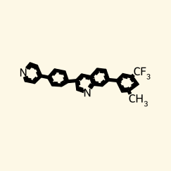 Cc1cc(-c2ccc3cc(-c4ccc(-c5ccncc5)cc4)cnc3c2)cc(C(F)(F)F)c1